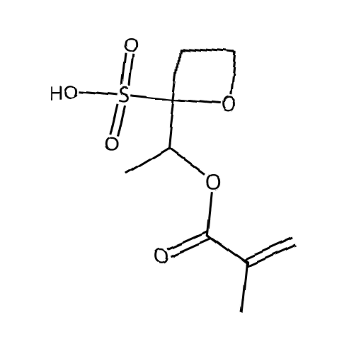 C=C(C)C(=O)OC(C)C1(S(=O)(=O)O)CCO1